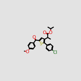 COc1ccc(C(=O)c2cc(C(C)C(=O)OC(C)C)c(-c3ccc(Cl)cc3)s2)cc1